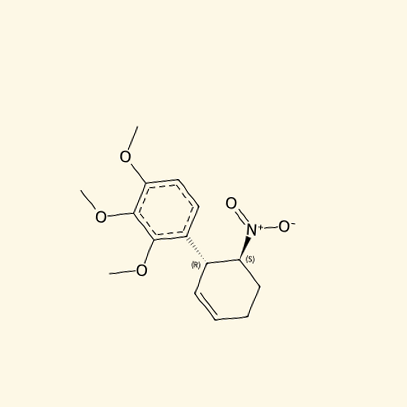 COc1ccc([C@H]2C=CCC[C@@H]2[N+](=O)[O-])c(OC)c1OC